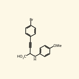 COc1ccc(NC(C#Cc2ccc(Br)cc2)C(=O)O)cc1